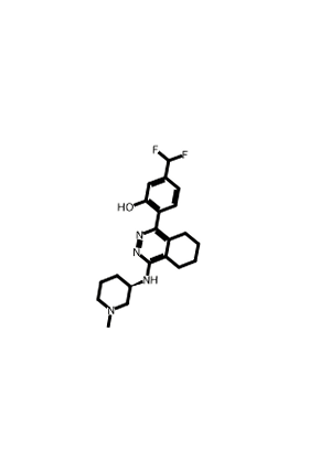 CN1CCC[C@@H](Nc2nnc(-c3ccc(C(F)F)cc3O)c3c2CCCC3)C1